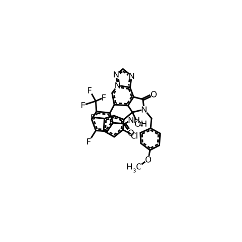 COc1ccc(CN2C(=O)c3c(c(-c4c(C(N)=O)cc(F)cc4C(F)(F)F)cn4ncnc34)C2(O)c2cc(F)ccc2Cl)cc1